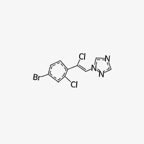 ClC(=Cn1cncn1)c1ccc(Br)cc1Cl